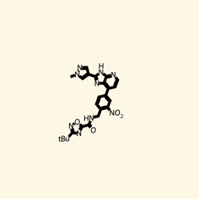 Cn1cc(-c2nc3c(-c4ccc(CNC(=O)c5nc(C(C)(C)C)no5)c([N+](=O)[O-])c4)ccnc3[nH]2)cn1